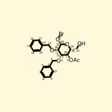 CC(=O)O[C@H]1[C@H](OCc2ccccc2)[C@@H](OCc2ccccc2)[C@@H](OBr)O[C@@H]1CO